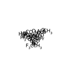 CC(C)OC(=O)c1cc(-n2c(=O)cc(C(F)(F)F)n(C)c2=O)ccc1Cl.CCc1cccc(C)c1N(C(=O)CCl)C(C)COC.CS(=O)(=O)c1ccc(C(=O)C2C(=O)CCCC2=O)c([N+](=O)[O-])c1.O=C(O)CNCP(=O)(O)O